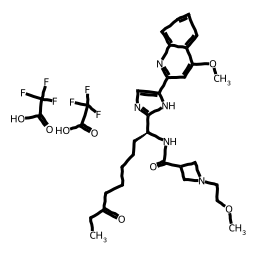 CCC(=O)CCCCC[C@H](NC(=O)C1CN(CCOC)C1)c1ncc(-c2cc(OC)c3ccccc3n2)[nH]1.O=C(O)C(F)(F)F.O=C(O)C(F)(F)F